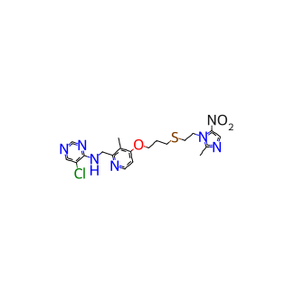 Cc1c(OCCCSCCn2c([N+](=O)[O-])cnc2C)ccnc1CNc1ncncc1Cl